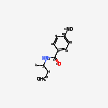 CC(CC=O)NC(=O)c1ccc(N=O)cc1